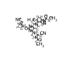 C=CC(=O)N1CCN(c2nc(OC[C@@H]3CCCN3CC#N)nc3c2CCN(c2c(C)ccc4c2cnn4C(=O)C=C)C3)C[C@@H]1CC#N